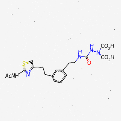 CC(=O)Nc1nc(CCc2cccc(CCNC(=O)NN(C(=O)O)C(=O)O)c2)cs1